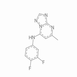 Cc1cc(Nc2ccc(F)c(F)c2)n2ncnc2n1